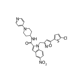 O=C(NC1CCN(c2ccncc2)CC1)c1cc2cc([N+](=O)[O-])ccc2n1Cc1cc(-c2ccc(Cl)s2)on1